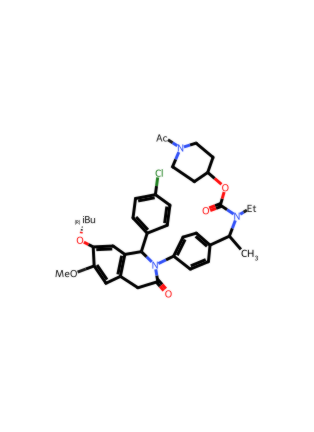 CC[C@@H](C)Oc1cc2c(cc1OC)CC(=O)N(c1ccc(C(C)N(CC)C(=O)OC3CCN(C(C)=O)CC3)cc1)C2c1ccc(Cl)cc1